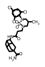 CC1CN(CCC(=O)NC2C3CC4CC2CC(C(N)=O)(C4)C3)S(=O)(=O)N(c2c(Cl)cc(Cl)cc2Cl)C1